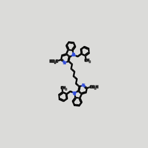 Cc1ccccc1Cn1c2ccccc2c2cc(C(=O)O)nc(CCCCCCc3nc(C(=O)O)cc4c5ccccc5n(Cc5ccccc5C)c34)c21